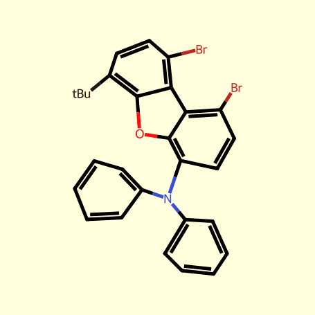 CC(C)(C)c1ccc(Br)c2c1oc1c(N(c3ccccc3)c3ccccc3)ccc(Br)c12